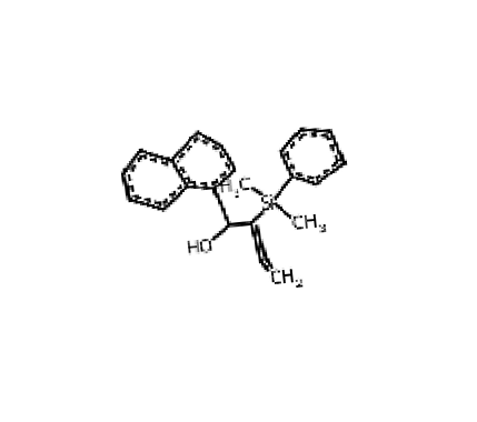 C=C=C(C(O)c1cccc2ccccc12)[Si](C)(C)c1ccccc1